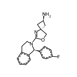 N[C@H]1C[C@@]2(COC(N3CCc4ccccc4[C@@H]3c3ccc(F)cc3)=N2)C1